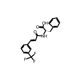 O=C(C=Cc1cccc(C(F)(F)F)c1)N[C@@H](Cc1ccccc1)C(=O)O